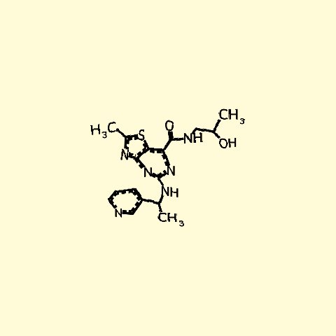 Cc1nc2nc(NC(C)c3cccnc3)nc(C(=O)NCC(C)O)c2s1